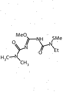 CCN(SC)C(=O)NC(=NC(=O)N(C)C)OC